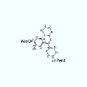 CCCCCC1CCC(C(CC2CC=CCC2)c2ccc(OC)c(F)c2)CC1